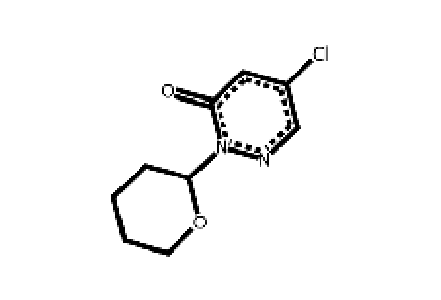 O=c1cc(Cl)cnn1C1CCCCO1